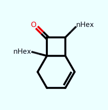 CCCCCCC1C(=O)C2(CCCCCC)CCC=CC12